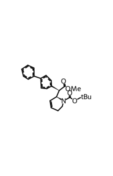 COC(=O)[C@H](c1ccc(-c2ccccc2)cc1)[C@@H]1C=CCCN1C(=O)OC(C)(C)C